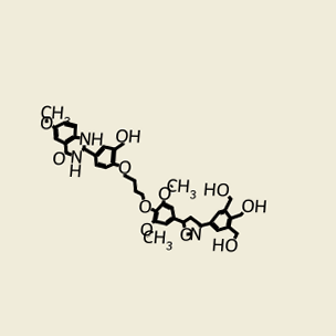 COc1ccc2c(c1)C(=O)NC(c1ccc(OCCCCOc3c(OC)cc(C4CC(c5cc(CO)c(CO)c(CO)c5)=NO4)cc3OC)c(CO)c1)N2